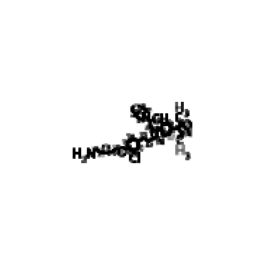 Cc1noc(C)c1-c1ccc2c(c1)nc(CCc1ccc(OCCOCCN)c(Cl)c1)n2C[C@H](C)N1CCOCC1